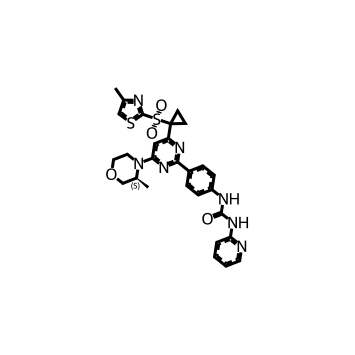 Cc1csc(S(=O)(=O)C2(c3cc(N4CCOC[C@@H]4C)nc(-c4ccc(NC(=O)Nc5ccccn5)cc4)n3)CC2)n1